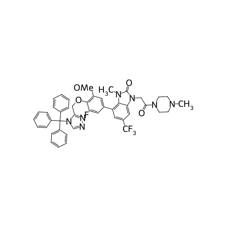 COc1cc(-c2cc(C(F)(F)F)cc3c2n(C)c(=O)n3CC(=O)N2CCN(C)CC2)cc(F)c1OCc1nncn1C(c1ccccc1)(c1ccccc1)c1ccccc1